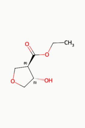 CCOC(=O)[C@@H]1COC[C@H]1O